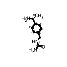 C[C@H](N)c1ccc(CNC(N)=O)cc1